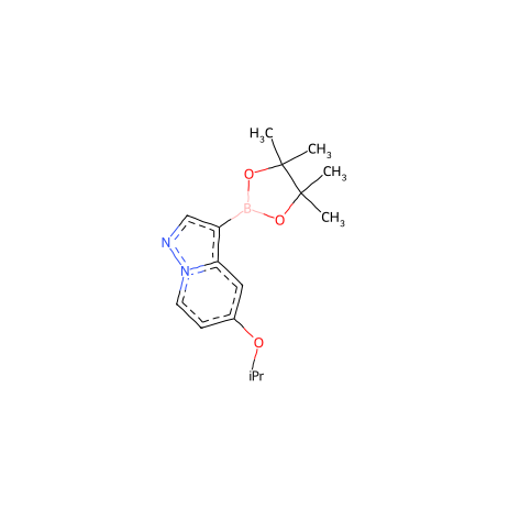 CC(C)Oc1ccn2ncc(B3OC(C)(C)C(C)(C)O3)c2c1